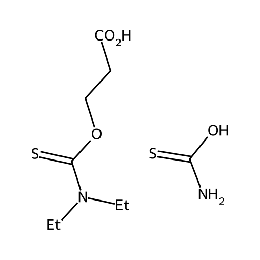 CCN(CC)C(=S)OCCC(=O)O.NC(O)=S